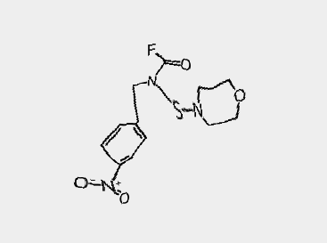 O=C(F)N(Cc1ccc([N+](=O)[O-])cc1)SN1CCOCC1